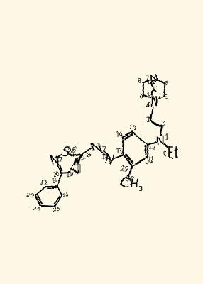 CCN(CC[N+]12CCN(CC1)CC2)c1ccc(N=Nc2nc(-c3ccccc3)ns2)c(C)c1